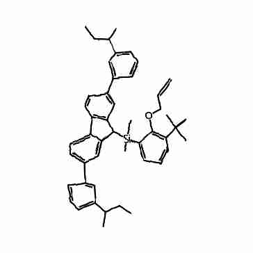 C=CCOc1c(C(C)(C)C)cccc1[Si](C)(C)C1c2cc(-c3cccc(C(C)CC)c3)ccc2-c2ccc(-c3cccc(C(C)CC)c3)cc21